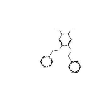 CC/C=C(OCc1ccccc1)\C(=C/C(C)C)OCc1ccccc1